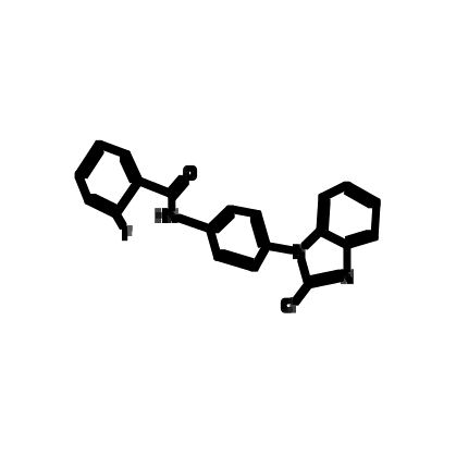 O=C(Nc1ccc(-n2c(Cl)nc3ccccc32)cc1)c1ccccc1F